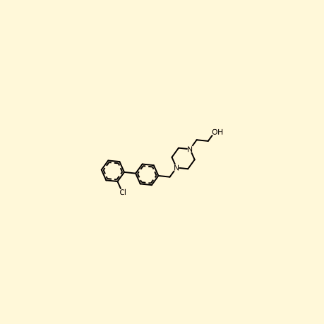 OCCN1CCN(Cc2ccc(-c3ccccc3Cl)cc2)CC1